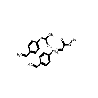 C=CC(=O)OC(C)(C)C.C=Cc1ccc(O)cc1.C=Cc1ccc(OC(C)OCC(C)C)cc1